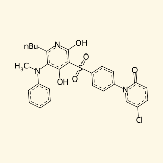 CCCCc1nc(O)c(S(=O)(=O)c2ccc(-n3cc(Cl)ccc3=O)cc2)c(O)c1N(C)c1ccccc1